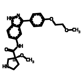 COCCOc1ccc(-c2n[nH]c3ccc(NC(=O)[C@]4(OC)CCNC4)cc23)cc1